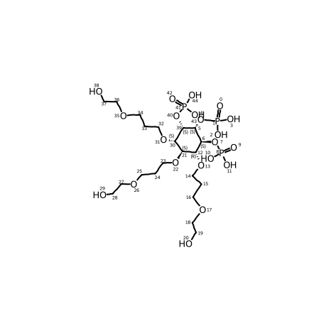 O=P(O)(O)O[C@@H]1[C@@H](OP(=O)(O)O)[C@H](OCCCOCCO)[C@@H](OCCCOCCO)[C@H](OCCCOCCO)[C@@H]1OP(=O)(O)O